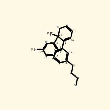 CCCCc1cccc(C2=CC=CCC2(F)c2cccc(F)c2)c1